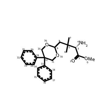 COC(=O)[C@@H](N)C(C)(C)CC1OCC(c2ccccc2)(c2ccccc2)CO1